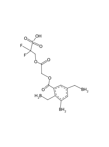 BCc1cc(B)c(CB)c(C(=O)OCC(=O)OCC(F)(F)S(=O)(=O)O)c1